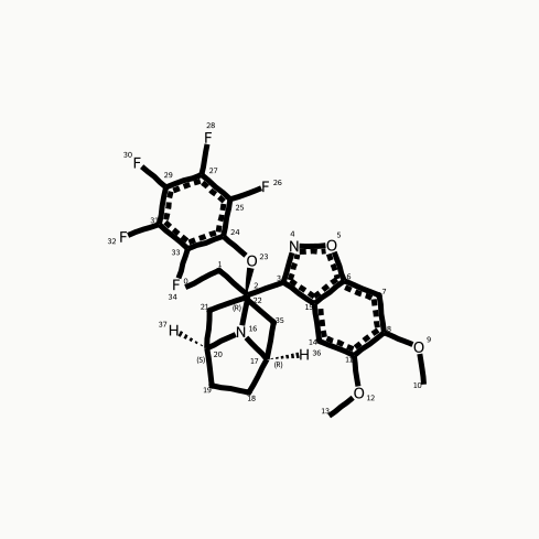 CCC(c1noc2cc(OC)c(OC)cc12)N1[C@@H]2CC[C@H]1C[C@@H](Oc1c(F)c(F)c(F)c(F)c1F)C2